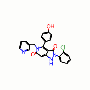 O=c1c2c(-c3ccc(O)cc3)n(Cc3cccnc3)c(=O)cc2[nH]n1-c1ccccc1Cl